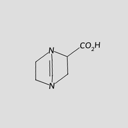 O=C(O)C1CN2C=CN1CC2